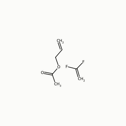 C=C(F)F.C=CCOC(C)=O